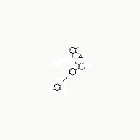 Cc1cccc(CN(C(=O)C2=C(c3ccc(OCCOc4c(Cl)cc(F)cc4Cl)cc3)CCNC2)C2CC2)c1C.O=CO